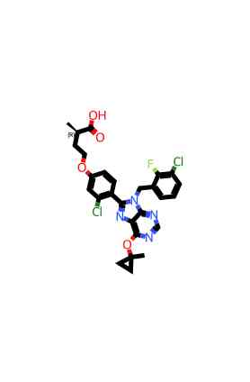 C[C@H](CCOc1ccc(-c2nc3c(OC4(C)CC4)ncnc3n2Cc2cccc(Cl)c2F)c(Cl)c1)C(=O)O